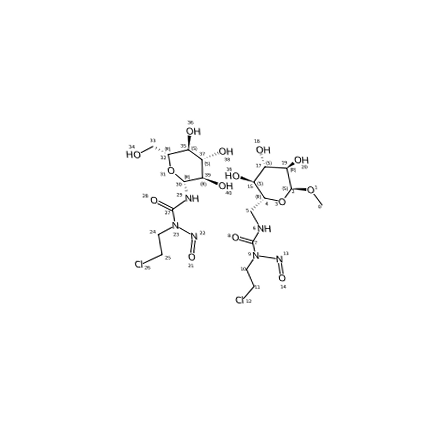 CO[C@H]1O[C@H](CNC(=O)N(CCCl)N=O)[C@@H](O)[C@H](O)[C@H]1O.O=NN(CCCl)C(=O)N[C@@H]1O[C@H](CO)[C@@H](O)[C@H](O)[C@H]1O